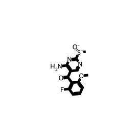 COc1cccc(F)c1C(=O)c1cnc([S+](C)[O-])nc1N